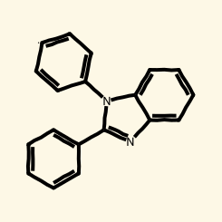 [c]1ccc(-n2c(-c3ccccc3)nc3ccccc32)cc1